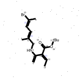 C=C(NC/C(C)=C/C=C(\C)Br)/C(=C\C)C(=O)OC(C)(C)C